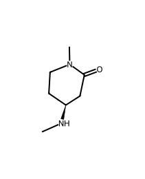 CN[C@H]1CCN(C)C(=O)C1